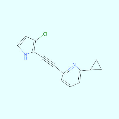 Clc1cc[nH]c1C#Cc1cccc(C2CC2)n1